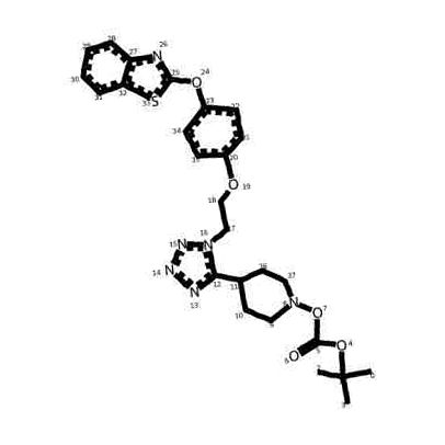 CC(C)(C)OC(=O)ON1CCC(c2nnnn2CCOc2ccc(Oc3nc4ccccc4s3)cc2)CC1